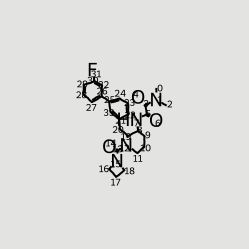 CN(C)C(=O)C(=O)NC1CCCN(C(=O)N2CCC2)C1Cc1cccc(-c2cccc(F)c2)c1